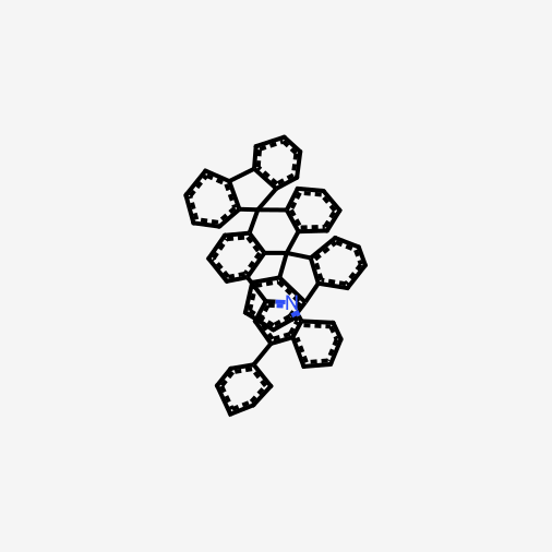 c1ccc(-c2cc(-c3cccc4c3C3(c5ccccc5-c5ccccc53)c3ccccc3C43c4ccccc4-c4ccccc43)nc3ccccc23)cc1